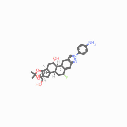 CC1(C)O[C@@H]2C[C@H]3[C@@H]4C[C@H](F)C5=Cc6nn(-c7ccc(N)cc7)cc6C[C@]5(C)[C@H]4[C@@H](O)C[C@]3(C)[C@]2(C(=O)CO)O1